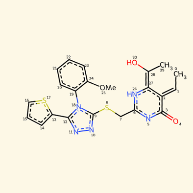 C/C=c1/c(=O)nc(CSc2nnc(-c3cccs3)n2-c2ccccc2OC)[nH]/c1=C(/C)O